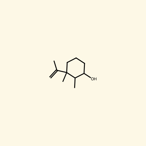 C=C(C)C1(C)CCCC(O)C1C